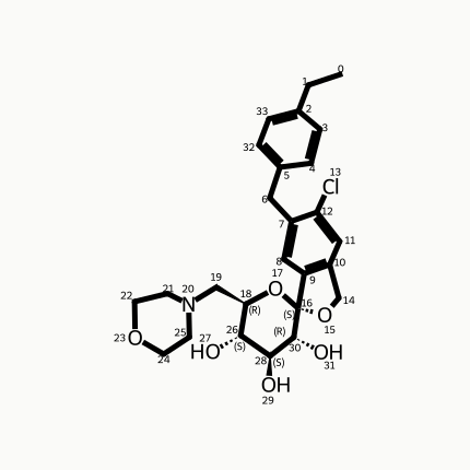 CCc1ccc(Cc2cc3c(cc2Cl)CO[C@]32O[C@H](CN3CCOCC3)[C@@H](O)[C@H](O)[C@H]2O)cc1